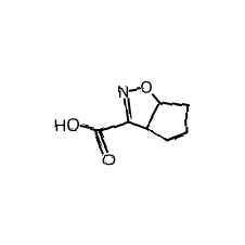 O=C(O)C1=NOC2CCCC12